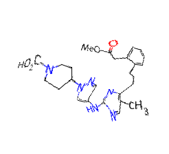 COC(=O)Cc1ccccc1CCc1nc(Nc2cnn(C3CCN(C(=O)O)CC3)c2)ncc1C